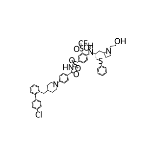 O=C(NS(=O)(=O)c1ccc(N[C@@H](CSc2ccccc2)CC2CCN2CCO)c(S(=O)(=O)C(F)(F)F)c1)c1ccc(N2CCC(Cc3ccccc3-c3ccc(Cl)cc3)CC2)cc1